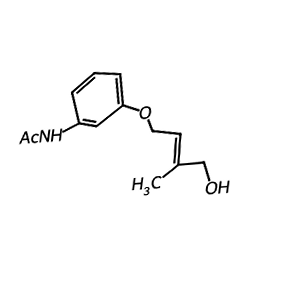 CC(=O)Nc1cccc(OC/C=C(\C)CO)c1